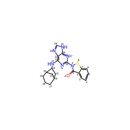 O=c1c2ccccc2sn1-c1nc(NC2CC3CCCC2C3)c2nc[nH]c2n1